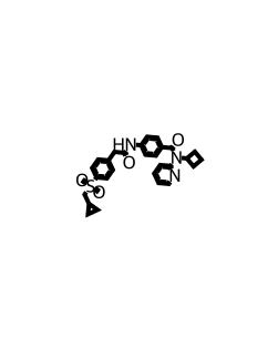 O=C(Cc1ccc(S(=O)(=O)CC2CC2)cc1)Nc1ccc(C(=O)N(c2ccccn2)C2CCC2)cc1